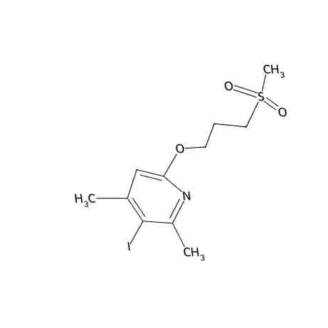 Cc1cc(OCCCS(C)(=O)=O)nc(C)c1I